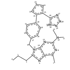 CCCc1nc2c(C)nc(N(C)C)nc2n1Cc1ccc(-c2cscc2-c2nnn[nH]2)cc1